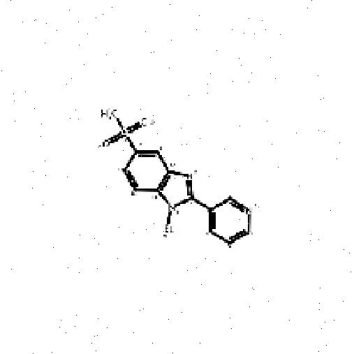 CCn1c(-c2cccnc2)nc2cc(S(C)(=O)=O)ccc21